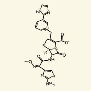 CO/N=C(\C(=O)N[C@@H]1C(=O)N2C(C(=O)[O-])=C(C[n+]3cccc(-c4ncc[nH]4)c3)CS[C@H]12)c1csc(N)n1